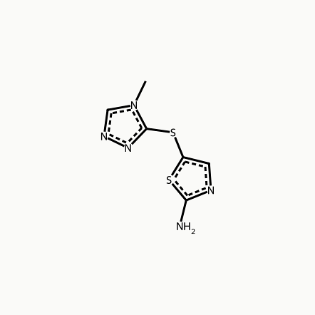 Cn1cnnc1Sc1cnc(N)s1